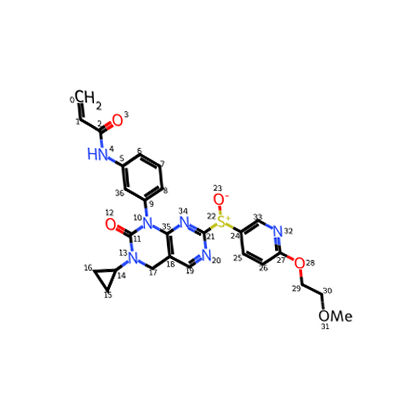 C=CC(=O)Nc1cccc(N2C(=O)N(C3CC3)Cc3cnc([S+]([O-])c4ccc(OCCOC)nc4)nc32)c1